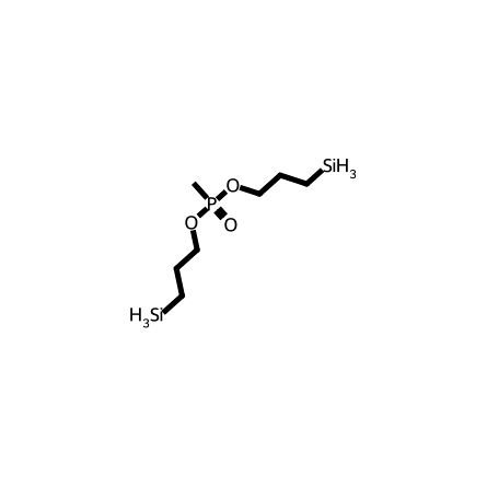 CP(=O)(OCCC[SiH3])OCCC[SiH3]